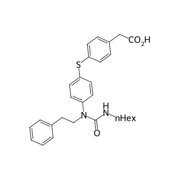 CCCCCCNC(=O)N(CCc1ccccc1)c1ccc(Sc2ccc(CC(=O)O)cc2)cc1